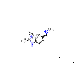 CN/C=C(C)/C=C\C1=CN(C)C(C)N1